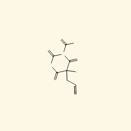 C=CCC1(C(C)CCC)C(=O)NC(=S)N(C(=O)OC)C1=O